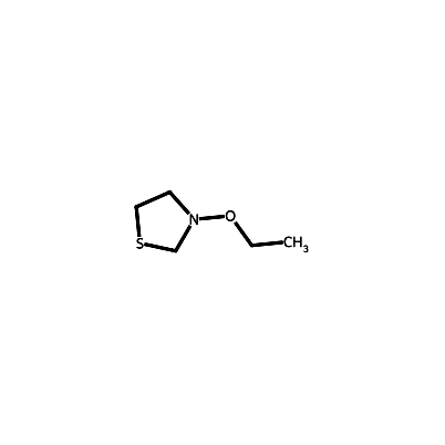 CCON1CCSC1